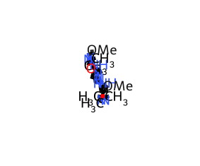 COCCn1nc(C)c(NC(=O)c2ccn3c2CCc2cnc(Nc4ccc(-c5c(C)nn(C)c5C)cc4OC)nc2-3)c1C